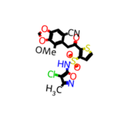 COc1c(CC(=O)c2sccc2S(=O)(=O)Nc2onc(C)c2Cl)c(C#N)cc2c1OCO2